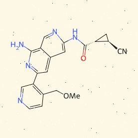 COCc1ccncc1-c1cc2cc(NC(=O)[C@@H]3C[C@H]3C#N)ncc2c(N)n1